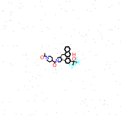 CC(=O)N1CCC(C(=O)N2C[C@@H](Cc3cccc4ccccc34)[C@H](c3ccc(C(O)(C(F)(F)F)C(F)(F)F)cc3)C2)CC1